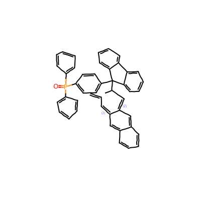 C=C/C=c1/cc2ccccc2c/c1=C/C(C)C1(c2ccc(P(=O)(c3ccccc3)c3ccccc3)cc2)c2ccccc2-c2ccccc21